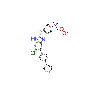 COOCC1(c2ccc(Oc3nc4cc(-c5ccc(-c6ccccc6)cc5)c(Cl)cc4[nH]3)cc2)CC1